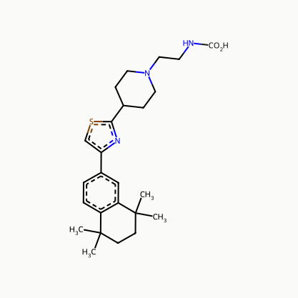 CC1(C)CCC(C)(C)c2cc(-c3csc(C4CCN(CCNC(=O)O)CC4)n3)ccc21